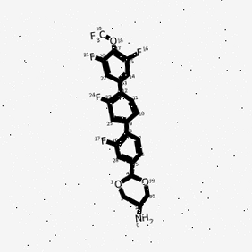 NC1COC(c2ccc(-c3ccc(-c4cc(F)c(OC(F)(F)F)c(F)c4)c(F)c3)c(F)c2)OC1